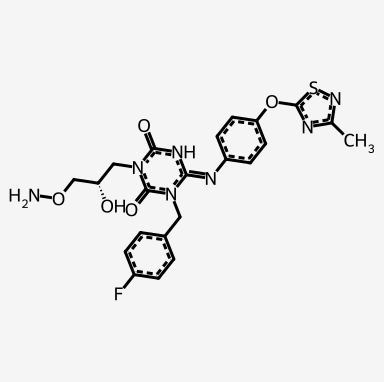 Cc1nsc(Oc2ccc(/N=c3\[nH]c(=O)n(C[C@H](O)CON)c(=O)n3Cc3ccc(F)cc3)cc2)n1